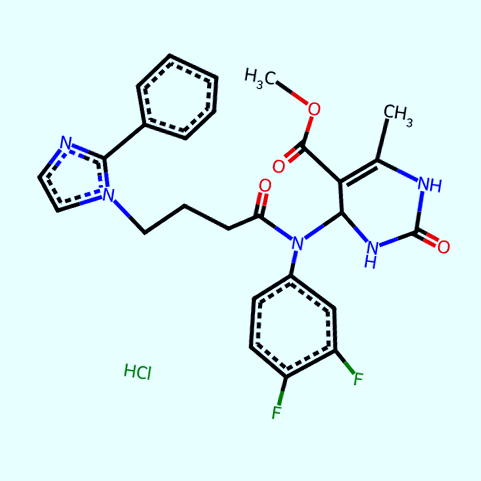 COC(=O)C1=C(C)NC(=O)NC1N(C(=O)CCCn1ccnc1-c1ccccc1)c1ccc(F)c(F)c1.Cl